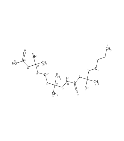 CCCOCC(C)(S)CC(=O)NCC(C)(C)COCC(C)(S)CC(=O)O